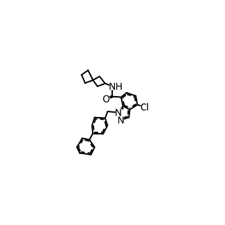 O=C(NC1CC2(CCC2)C1)c1ccc(Cl)c2cnn(Cc3ccc(-c4ccccc4)cc3)c12